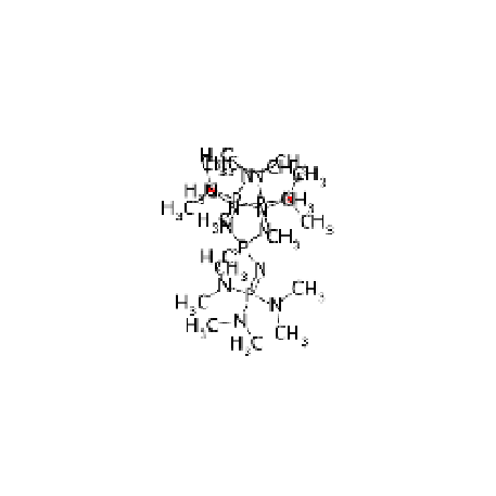 C=P(N=P(N(C)C)(N(C)C)N(C)C)(N=P(N(C)C)(N(C)C)N(C)C)N=P(N(C)C)(N(C)C)N(C)C